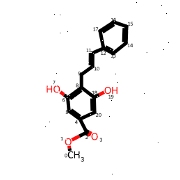 COC(=O)c1cc(O)c(C/C=C/c2ccccc2)c(O)c1